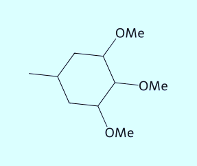 COC1CC(C)CC(OC)C1OC